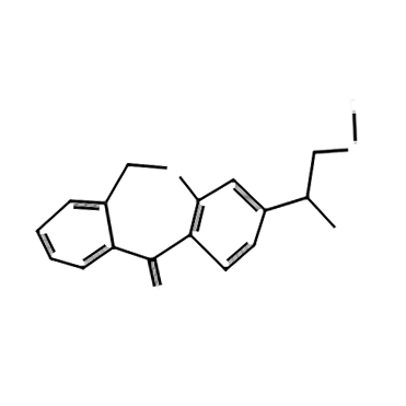 CCOCC(C)c1ccc2c(c1)SCc1ccccc1C2=O